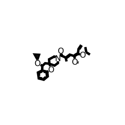 C=C/C(OC(C)C)=C(\C=C(/C)C(=O)N1CCC2(CC1)CC(OC1CC1)c1ccccc1O2)OC